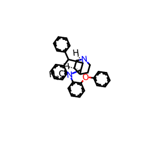 CN(c1ccccc1Oc1ccccc1)[C@@H]1C2CCN(CC2)[C@@H]1C(c1ccccc1)c1ccccc1